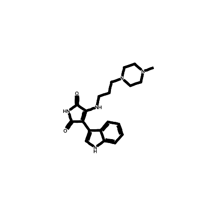 CN1CCN(CCCNC2=C(c3c[nH]c4ccccc34)C(=O)NC2=O)CC1